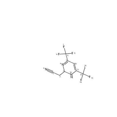 N#CCC1N=C(C(F)(F)F)C=C(C(F)(F)I)N1